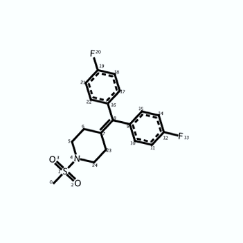 CS(=O)(=O)N1CCC(=C(c2ccc(F)cc2)c2ccc(F)cc2)CC1